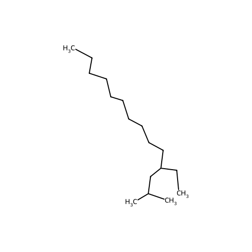 CCCCCCCCCCC(CC)CC(C)C